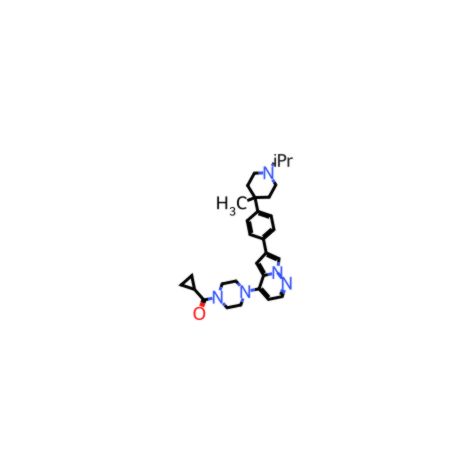 CC(C)N1CCC(C)(c2ccc(-c3cc4c(N5CCN(C(=O)C6CC6)CC5)ccnn4c3)cc2)CC1